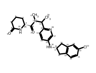 CN(C(=O)[C@H]1CCCC(=O)N1)C(c1ccc(N[C@H]2Cc3ccc(Cl)cc3C2)cn1)C(F)(F)F